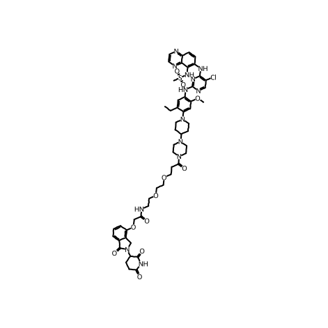 CCc1cc(Nc2ncc(Cl)c(Nc3ccc4nccnc4c3NS(C)(=O)=O)n2)c(OC)cc1N1CCC(N2CCN(C(=O)CCOCCOCCNC(=O)COc3cccc4c3CN(C3CCC(=O)NC3=O)C4=O)CC2)CC1